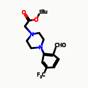 CC(C)(C)OC(=O)CN1CCN(c2cc(C(F)(F)F)ccc2C=O)CC1